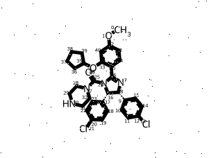 COc1ccc(C2=N[C@H](c3ccc(Cl)cc3)[C@H](c3ccc(Cl)cc3)N2C(=O)N2CCNCC2)c(OC2CCCC2)c1